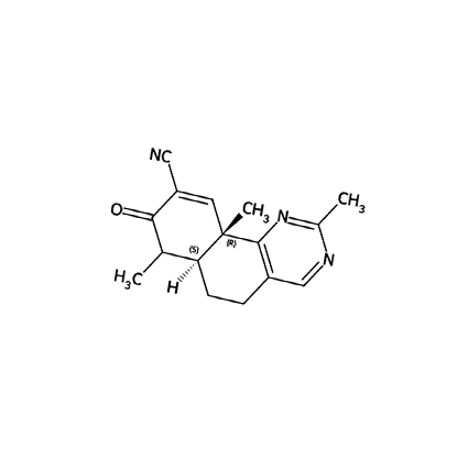 Cc1ncc2c(n1)[C@@]1(C)C=C(C#N)C(=O)C(C)[C@@H]1CC2